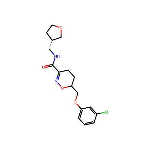 O=C(NC[C@@H]1CCOC1)C1=NOC(COc2cccc(Cl)c2)CC1